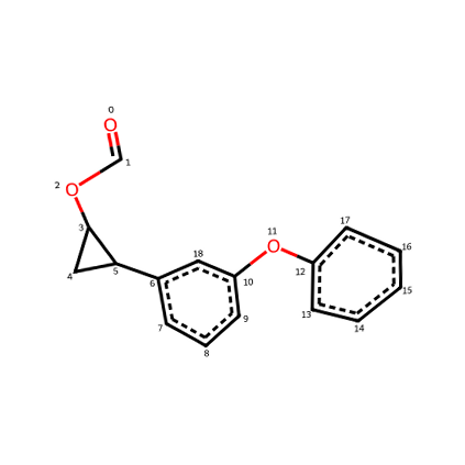 O=COC1CC1c1cccc(Oc2ccccc2)c1